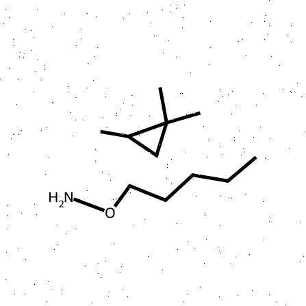 CC1CC1(C)C.CCCCCON